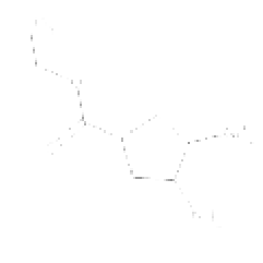 CCOC(=O)C1CC(N)C(N)C1